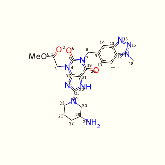 COC(=O)Cn1c(=O)n(Cc2ccc3c(c2)nnn3C)c(=O)c2[nH]c(N3CCCC(N)C3)nc21